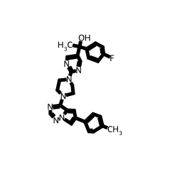 Cc1ccc(-c2cc3c(N4CCN(c5ncc(C(C)(O)c6ccc(F)cc6)cn5)CC4)ncnn3c2)cc1